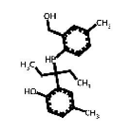 CCC(CC)(Pc1ccc(C)cc1CO)c1cc(C)ccc1O